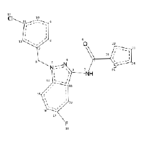 O=C(Nc1nn(Cc2cccc(Cl)c2)c2ccc(F)cc12)c1cccs1